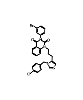 O=c1c2ccccc2n(CCCc2cncn2Cc2ccc(Cl)cc2)c(=O)n1-c1cccc(Br)c1